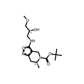 COC[C@@H](O)CNc1onc2c1CN(C(=O)OC(C)(C)C)[C@@H](C)C2